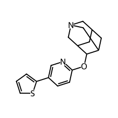 c1csc(-c2ccc(OC3C4CC5CC3CN(C5)C4)nc2)c1